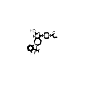 C=CC(=O)N1CCN(c2nc(O)nc3c2CCCN(c2cccc(F)c2C(F)(F)F)C3)CC1